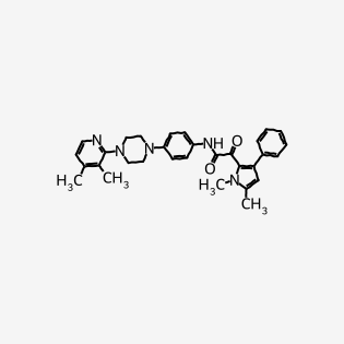 Cc1ccnc(N2CCN(c3ccc(NC(=O)C(=O)c4c(-c5ccccc5)cc(C)n4C)cc3)CC2)c1C